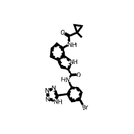 CC1(C(=O)Nc2cccc3cc(C(=O)Nc4ccc(Br)cc4-c4nnn[nH]4)[nH]c23)CC1